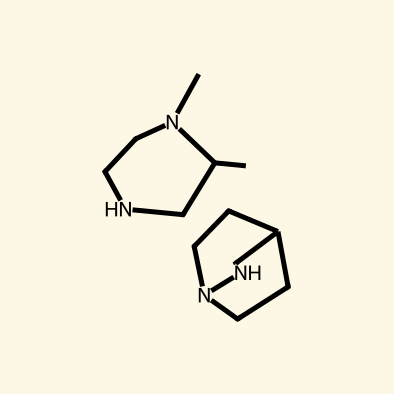 C1CN2CCC1CN2.CC1CNCCN1C